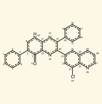 O=c1c(-c2ccccc2)c[nH]c2nc(-c3ccccc3)c(-c3cc(Cl)c4ncccc4c3)nc12